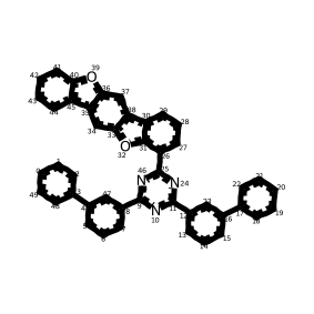 c1ccc(-c2cccc(-c3nc(-c4cccc(-c5ccccc5)c4)nc(-c4cccc5c4oc4cc6c(cc45)oc4ccccc46)n3)c2)cc1